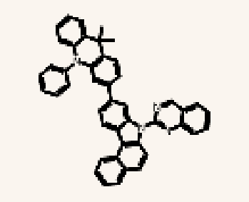 CC1(C)c2ccccc2N(c2ccccc2)c2cc(-c3ccc4c5c6ccccc6ccc5n(-c5ncc6ccccc6n5)c4c3)ccc21